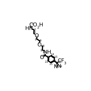 O=C(O)NCCOCCOCCNC(=O)c1ccc(C2(C(F)(F)F)N=N2)cc1